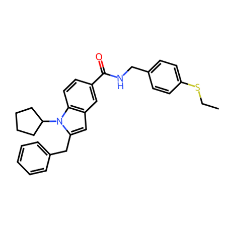 CCSc1ccc(CNC(=O)c2ccc3c(c2)cc(Cc2ccccc2)n3C2CCCC2)cc1